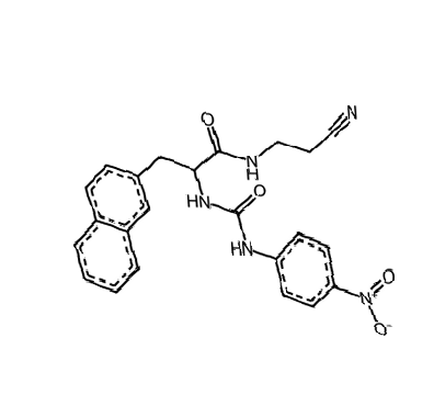 N#CCCNC(=O)C(Cc1ccc2ccccc2c1)NC(=O)Nc1ccc([N+](=O)[O-])cc1